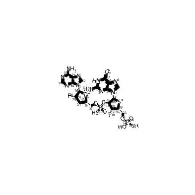 Nc1nc2c(ncn2[C@@H]2S[C@H](COP(=O)(O)S)[C@H](F)[C@H]2OP(=O)(S)OC[C@@H]2C[C@H](F)[C@H](n3cnc4c(N)ncnc43)O2)c(=O)[nH]1